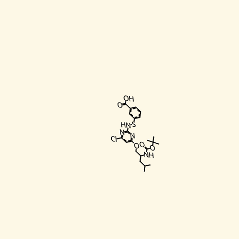 CC(C)CC(COc1cc(Cl)nc(NSc2cccc(C(=O)O)c2)n1)NC(=O)OC(C)(C)C